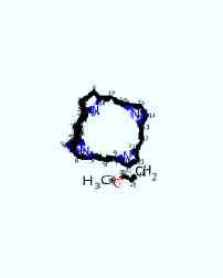 C1=Cc2cc3ccc(cc4nc(cc5ccc(cc1n2)[nH]5)C=C4)[nH]3.C=CCOC